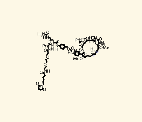 COc1cc2cc(c1-c1ccc(NC(=O)OCc3ccc(NC(=O)[C@H](CCCNC(N)=O)NC(=O)[C@@H](NC(=O)CCOCCOCCNC(=O)CCCCCN4C(=O)C=CC4=O)C(C)C)cc3)cc1)N(C)C(=O)C[C@H](OC(=O)C(C)C)[C@]1(C)O[C@H]1[C@H](C)[C@@H]1C[C@@](O)(NC(=O)O1)[C@H](OC)/C=C/C=C(\C)C2